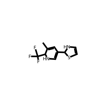 CC1=CC(C2NC=CS2)=CNC1C(F)(F)F